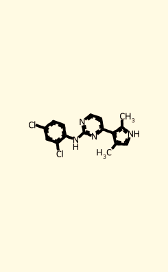 Cc1c[nH]c(C)c1-c1ccnc(Nc2ccc(Cl)cc2Cl)n1